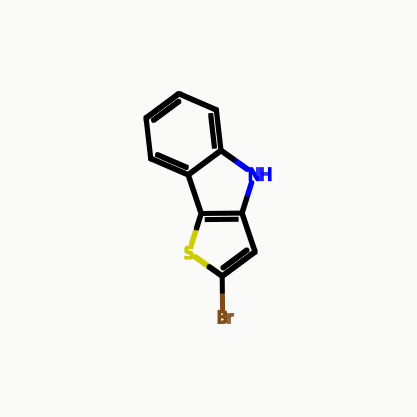 Brc1cc2[nH]c3ccccc3c2s1